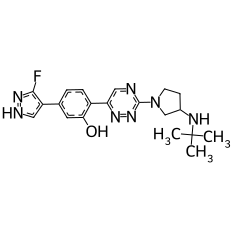 CC(C)(C)NC1CCN(c2ncc(-c3ccc(-c4c[nH]nc4F)cc3O)nn2)C1